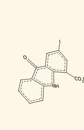 O=C(O)c1cc(I)cc2c(=O)c3ccccc3[nH]c12